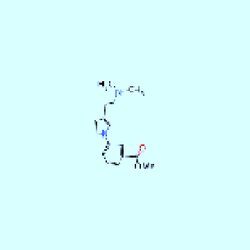 COC(=O)c1cccc(-n2ccc(CCN(C)C)c2)c1